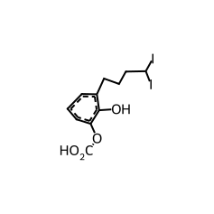 O=C(O)Oc1cccc(CCCC(I)I)c1O